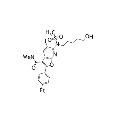 CCc1ccc(-c2oc3nc(N(CCCCCO)S(C)(=O)=O)c(I)cc3c2C(=O)NC)cc1